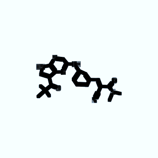 CN(C)C(=O)/C(C#N)=C/c1cccc(Nc2cnc3[nH]cc(C(=O)C(C)(C)C)c3n2)c1